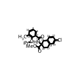 COC(=O)C1(NC(=O)c2cccc(C)c2OC(C)C)CCc2cc(Cl)ccc2C1